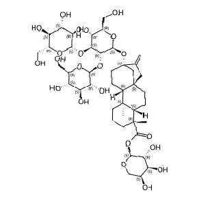 C=C1C[C@@]23CC[C@H]4[C@@](C)(CCC[C@@]4(C)C(=O)O[C@@H]4OC[C@H](O)[C@H](O)[C@H]4O)[C@@H]2CC[C@]1(O[C@@H]1O[C@H](CO)[C@@H](O)[C@H](O[C@@H]2O[C@H](CO)[C@@H](O)[C@H](O)[C@H]2O)[C@H]1O[C@@H]1O[C@H](CO)[C@@H](O)[C@H](O)[C@H]1O)C3